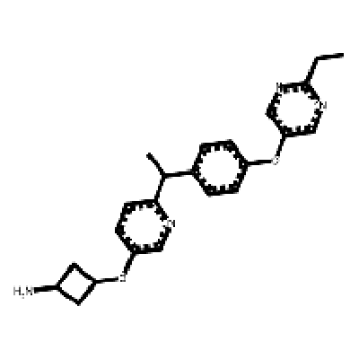 CCc1ncc(Oc2ccc(C(C)c3ccc(OC4CC(N)C4)cn3)cc2)cn1